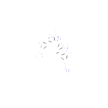 C=Nc1[nH]c(-c2n[nH]c3ncc(-c4cncc(OC5CCCCC5)c4)cc23)cc1/C(=C\C)c1cc(F)cc(OCCN(C)C)c1